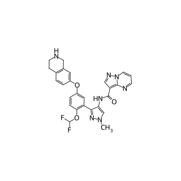 Cn1cc(NC(=O)c2cnn3cccnc23)c(-c2cc(Oc3ccc4c(c3)CNCC4)ccc2OC(F)F)n1